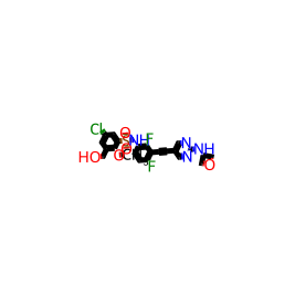 COc1c(CO)cc(Cl)cc1S(=O)(=O)Nc1ccc(F)c(C#Cc2cnc(NC3COC3)nc2)c1F